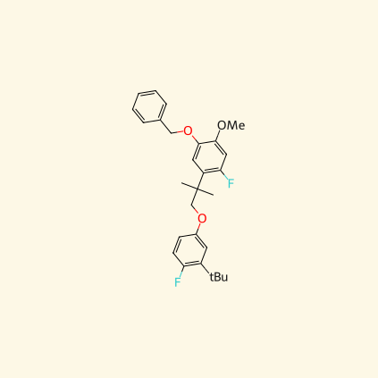 COc1cc(F)c(C(C)(C)COc2ccc(F)c(C(C)(C)C)c2)cc1OCc1ccccc1